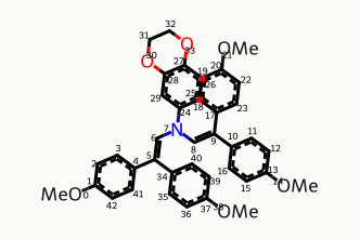 COc1ccc(C(=CN(C=C(c2ccc(OC)cc2)c2ccc(OC)cc2)c2ccc3c(c2)OCCO3)c2ccc(OC)cc2)cc1